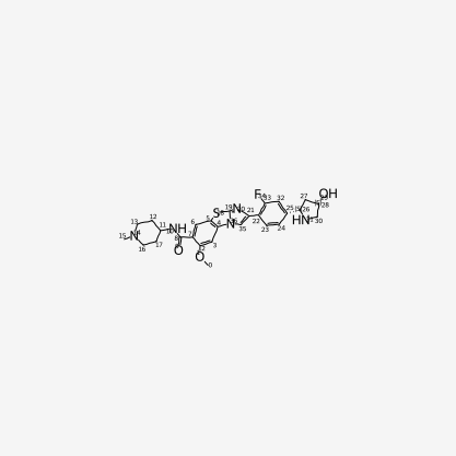 COc1cc2c(cc1C(=O)NC1CCN(C)CC1)sc1nc(-c3ccc([C@@H]4C[C@H](O)CN4)cc3F)cn12